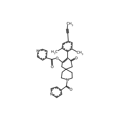 CC#Cc1cc(C)c(C2=C(OC(=O)c3ccncc3)CC3(CCN(C(=O)c4ccncc4)CC3)CC2=O)c(C)c1